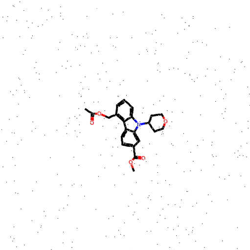 COC(=O)c1ccc2c3c(COC(C)=O)cccc3n(C3CCOCC3)c2c1